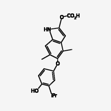 Cc1cc2[nH]c(OC(=O)O)cc2c(C)c1Oc1ccc(O)c(C(C)C)c1